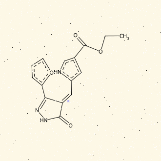 CCOC(=O)c1c[nH]c(/C=C2/C(=O)NN=C2c2ccco2)c1